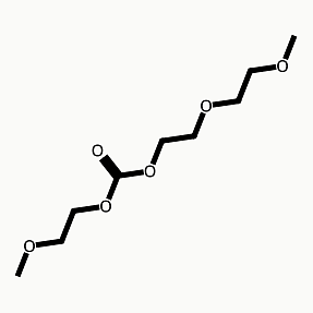 COCCOCCOC(=O)OCCOC